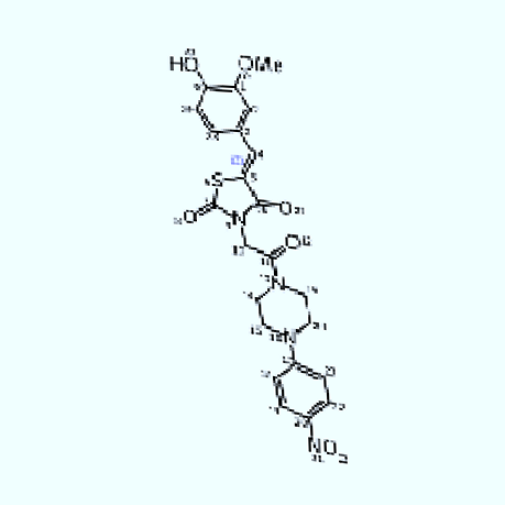 COc1cc(/C=C2\SC(=O)N(CC(=O)N3CCN(c4ccc([N+](=O)[O-])cc4)CC3)C2=O)ccc1O